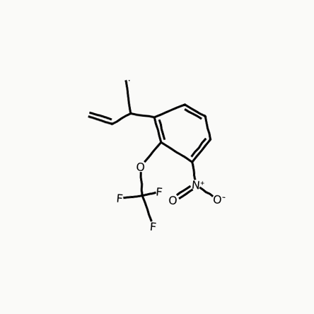 [CH2]C(C=C)c1cccc([N+](=O)[O-])c1OC(F)(F)F